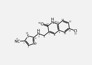 N#Cc1cnc(NCc2cc3cc(Cl)ccc3[nH]c2=O)s1